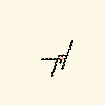 CCCCCCCCCCC(CCCCCCCC)CC(CC)OC(CC)CC(CCCCCCCC)CCCCCCCCCC